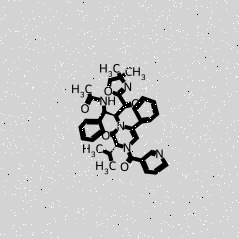 CC(=O)NC(c1ccccc1)[C@@H](C(=O)C1=NC(C)(C)CO1)N1C(=O)[C@@H](C(C)C)N(C(=O)c2cccnc2)C=C1c1ccccc1